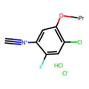 C#[N+]c1cc(OC(C)C)c(Cl)cc1F.Cl.[Cl-]